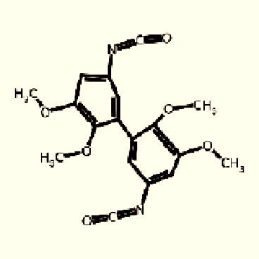 COc1cc(N=C=O)cc(-c2cc(N=C=O)cc(OC)c2OC)c1OC